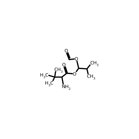 CC(C)C(OC=O)OC(=O)C(N)C(C)(C)C